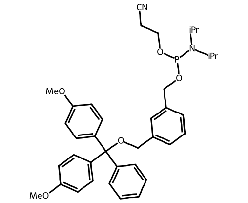 COc1ccc(C(OCc2cccc(COP(OCCC#N)N(C(C)C)C(C)C)c2)(c2ccccc2)c2ccc(OC)cc2)cc1